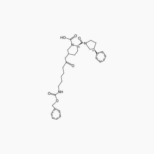 O=C(CCCCCNC(=O)OCc1ccccc1)CC1CC[C@H](C(=O)N2CC[C@@H](c3ccccc3)C2)N(C(=O)O)C1